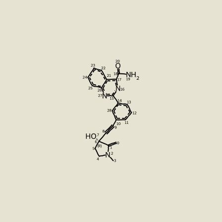 C=C1N(C)CC[C@@]1(O)C#Cc1cccc(-c2nc(C(N)=O)c3ccccc3n2)c1